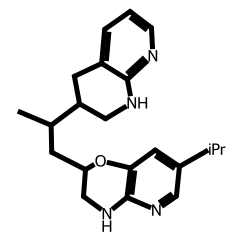 CC(C)c1cnc2c(c1)OC(CC(C)C1CNc3ncccc3C1)CN2